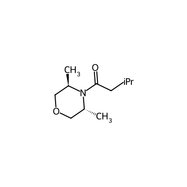 CC(C)CC(=O)N1[C@H](C)COC[C@H]1C